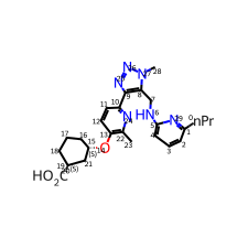 CCCc1cccc(NCc2c(-c3ccc(O[C@H]4CCC[C@H](C(=O)O)C4)c(C)n3)nnn2C)n1